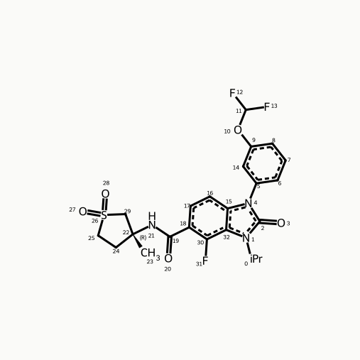 CC(C)n1c(=O)n(-c2cccc(OC(F)F)c2)c2ccc(C(=O)N[C@]3(C)CCS(=O)(=O)C3)c(F)c21